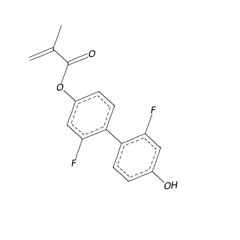 C=C(C)C(=O)Oc1ccc(-c2ccc(O)cc2F)c(F)c1